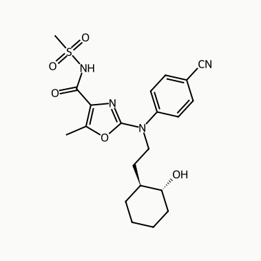 Cc1oc(N(CC[C@@H]2CCCC[C@H]2O)c2ccc(C#N)cc2)nc1C(=O)NS(C)(=O)=O